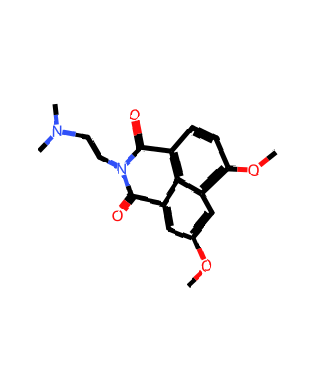 COc1cc2c3c(ccc(OC)c3c1)C(=O)N(CCN(C)C)C2=O